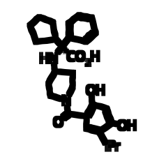 CC(C)c1cc(C(=O)N2CCC(N[C@](C(=O)O)(c3ccccc3)C3CCCC3)CC2)c(O)cc1O